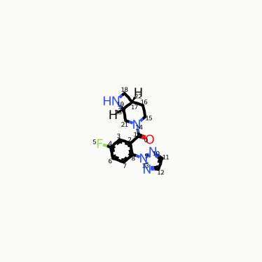 O=C(c1cc(F)ccc1-n1nccn1)N1CC[C@H]2CN[C@H]2C1